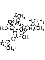 Cc1cc(-c2cc(-c3ccc4c(c3)C(C)(C)CCC4(C)C)cc3c2[nH]c2ccc(-c4ccc5c(c4)C(C)(C)CCC5(C)C)cc23)c2c3c1c1cc(-c4ccc5c(c4)C(C)(C)CCC5(C)C)cc4c5cc(-c6ccc7c(c6)C(C)(C)CCC7(C)C)cc(c5n3c41)B2